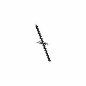 CCCCCCCCCCCCCC/C(CO)=C(\CO)CCCCCCCCCCCCCC